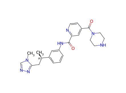 C[C@H](Cc1nncn1C)c1cccc(NC(=O)c2cc(C(=O)N3CCNCC3)ccn2)c1